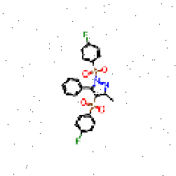 Cc1nn(S(=O)(=O)c2ccc(F)cc2)c(-c2ccccc2)c1S(=O)(=O)c1ccc(F)cc1